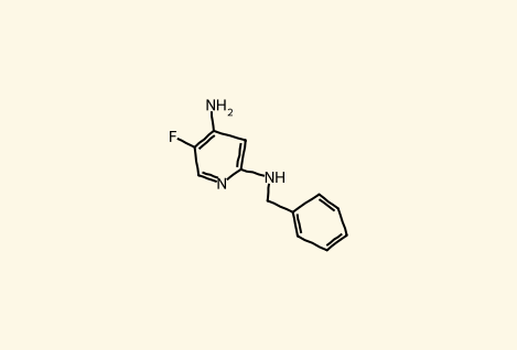 Nc1cc(NCc2ccccc2)ncc1F